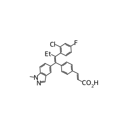 CC/C(=C(/c1ccc(/C=C/C(=O)O)cc1)c1ccc2c(cnn2C)c1)c1ccc(F)cc1Cl